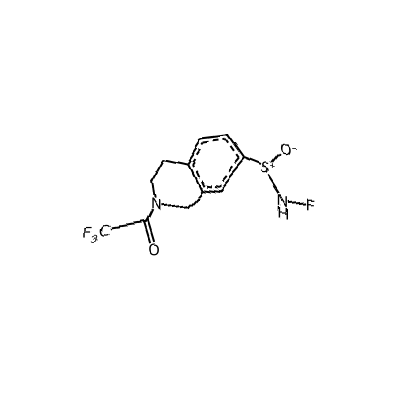 O=C(N1CCc2ccc([S+]([O-])NF)cc2C1)C(F)(F)F